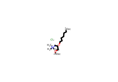 CCCCCCCCCCCCCCCCOC(COCCCCCCCCCC)C[N+](C)(C)C.[Cl-]